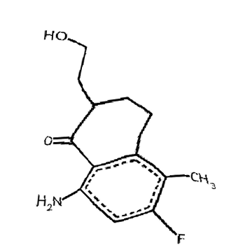 Cc1c(F)cc(N)c2c1CCC(CCO)C2=O